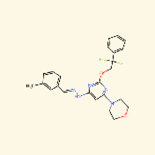 Cc1cccc(/C=N/Nc2cc(N3CCOCC3)nc(OCC(F)(F)c3ccccc3)n2)c1